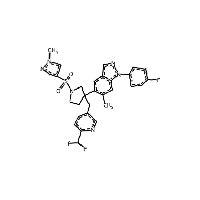 Cc1cc2c(cnn2-c2ccc(F)cc2)cc1C1(Cc2ccc(C(F)F)nc2)CCN(S(=O)(=O)c2cnn(C)c2)C1